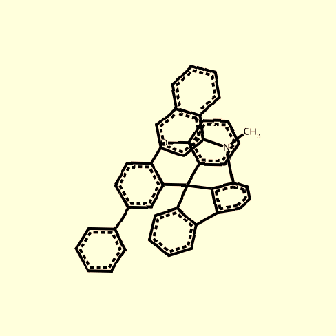 CN(c1cccc2c1C1(c3ccccc3Oc3ccc(-c4ccccc4)cc31)c1ccccc1-2)c1cccc2ccccc12